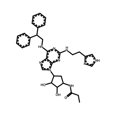 CCC(=O)NC1CC(n2cnc3c(NCC(c4ccccc4)c4ccccc4)nc(NCCc4c[nH]cn4)nc32)C(O)C1O